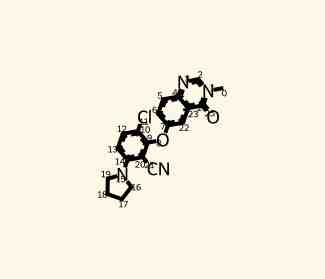 Cn1cnc2ccc(Oc3c(Cl)ccc(N4CCCC4)c3C#N)cc2c1=O